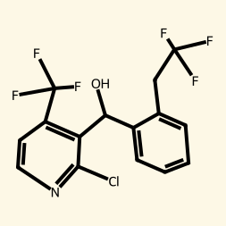 OC(c1ccccc1CC(F)(F)F)c1c(C(F)(F)F)ccnc1Cl